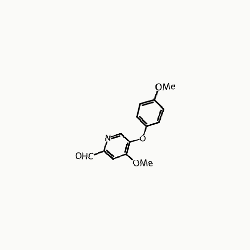 COc1ccc(Oc2cnc(C=O)cc2OC)cc1